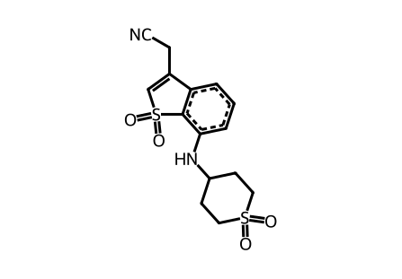 N#CCC1=CS(=O)(=O)c2c(NC3CCS(=O)(=O)CC3)cccc21